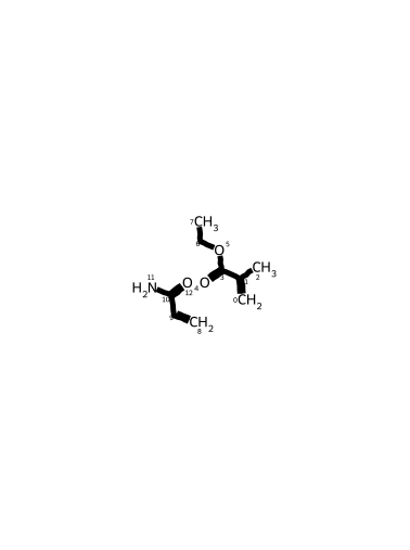 C=C(C)C(=O)OCC.C=CC(N)=O